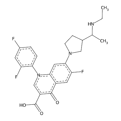 CCNC(C)C1CCN(c2cc3c(cc2F)c(=O)c(C(=O)O)cn3-c2ccc(F)cc2F)C1